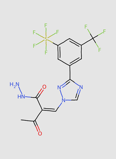 CC(=O)C(=Cn1cnc(-c2cc(C(F)(F)F)cc(S(F)(F)(F)(F)F)c2)n1)C(=O)NN